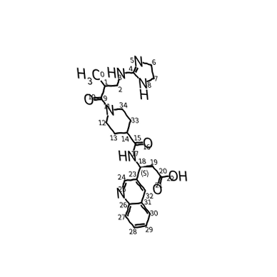 CC(CNC1=NCCN1)C(=O)N1CCC(C(=O)N[C@@H](CC(=O)O)c2cnc3ccccc3c2)CC1